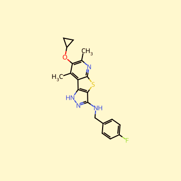 Cc1nc2sc3c(NCc4ccc(F)cc4)n[nH]c3c2c(C)c1OC1CC1